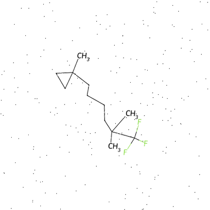 CC1(CCCCC(C)(C)C(F)(F)F)CC1